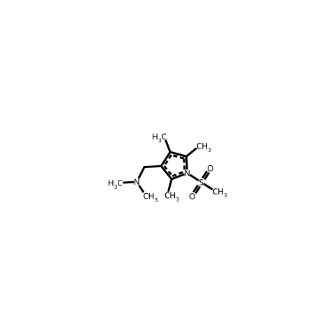 Cc1c(CN(C)C)c(C)n(S(C)(=O)=O)c1C